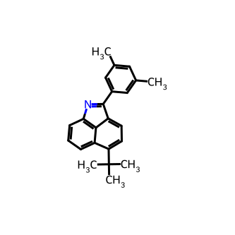 Cc1cc(C)cc(C2=Nc3cccc4c(C(C)(C)C)ccc2c34)c1